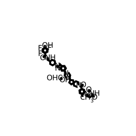 Cc1ccc(C(=O)N2CCC3(CCC(N4CCN(c5ccc6cn(C7CCC(CNC(=O)c8cc(F)c(O)c(F)c8F)CC7)nc6c5)CC4)C3)CC2)cc1N1CCC(=O)NC1=O.O=CO